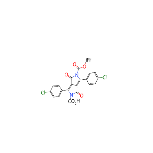 CC(C)OC(=O)N1C(=O)C2=C(c3ccc(Cl)cc3)N(C(=O)O)C(=O)C2=C1c1ccc(Cl)cc1